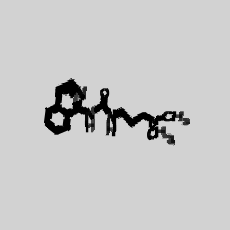 CN(C)CCCNC(=O)Nc1nccc2ccccc12